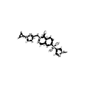 Cn1cc(S(=O)(=O)c2ccc3c(=O)n(Cc4ccn(C5CC5)n4)ncc3c2)cn1